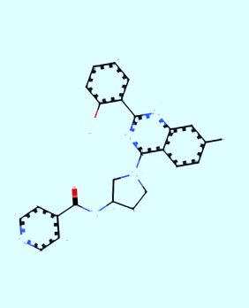 Cc1ccc2c(N3CCC(NC(=O)c4ccncc4)C3)nc(-c3ccccc3O)nc2c1